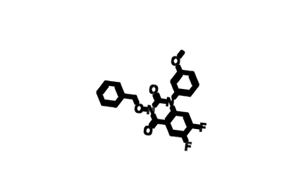 COc1cccc(-n2c(=O)n(OCc3ccccc3)c(=O)c3cc(F)c(F)cc32)c1